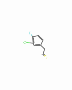 Fc1ccc(C[C]=S)cc1Cl